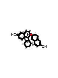 OC1=CC2=CC[C@H](O)[C@@H](C3(C4C(O)CC=C5C=C(O)C=C[C@H]54)CCCCC3)C2C=C1